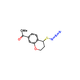 COC(=O)c1ccc2c(c1)OCC[C@@H]2SN=[N+]=[N-]